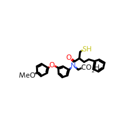 COc1ccc(Oc2cccc(N(CC(=O)O)C(=O)C(CS)CCc3ccccc3)c2)cc1